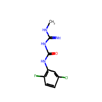 CNC(=N)NC(=O)Nc1cc(Cl)ccc1F